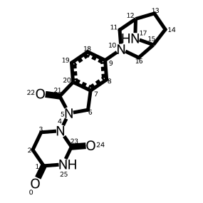 O=C1CCN(N2Cc3cc(N4CC5CCC(C4)N5)ccc3C2=O)C(=O)N1